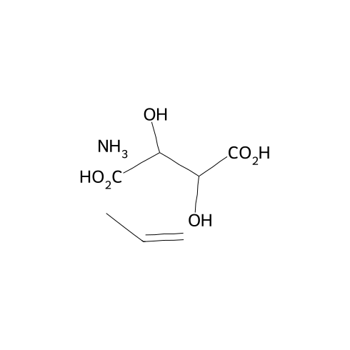 C=CC.N.O=C(O)C(O)C(O)C(=O)O